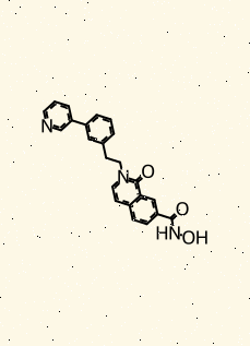 O=C(NO)c1ccc2ccn(CCc3cccc(-c4cccnc4)c3)c(=O)c2c1